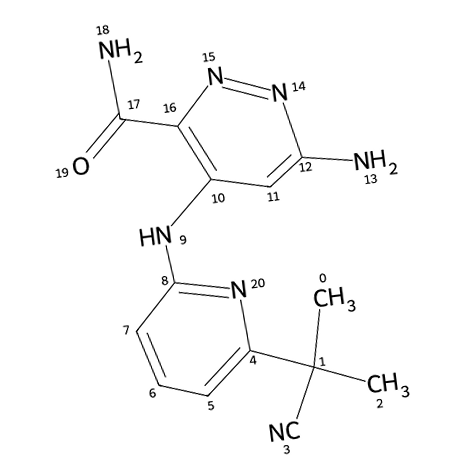 CC(C)(C#N)c1cccc(Nc2cc(N)nnc2C(N)=O)n1